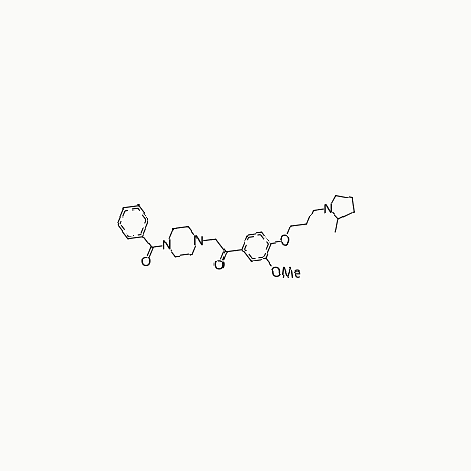 COc1cc(C(=O)CN2CCN(C(=O)c3ccccc3)CC2)ccc1OCCCN1CCCC1C